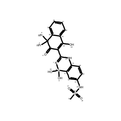 CCCC1(CCC)C(=O)C(C2=NS(O)(O)c3cc(NS(C)(=O)=O)ccc3N2)=C(O)c2ccccc21